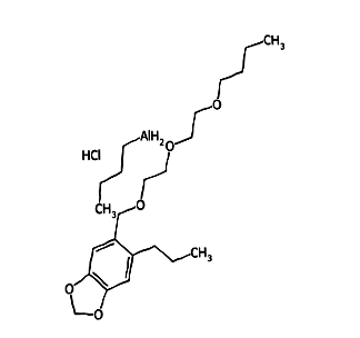 CCCCOCCOCCOCc1cc2c(cc1CCC)OCO2.CCC[CH2][AlH2].Cl